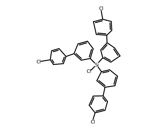 Clc1ccc(-c2cccc([Si](Cl)(c3cccc(-c4ccc(Cl)cc4)c3)c3cccc(-c4ccc(Cl)cc4)c3)c2)cc1